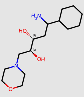 NC(C[C@@H](O)[C@@H](O)CN1CCOCC1)C1CCCCC1